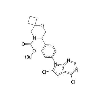 CC(C)(C)OC(=O)N1CC2(CCC2)OCC1c1ccc(-n2c(Cl)cc3c(Cl)ncnc32)cc1